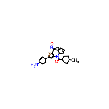 C=C(N=O)c1sc(C2C=CC(N)CC2)cc1N(C(=O)C1CCC(C)CC1)C1CCCC1